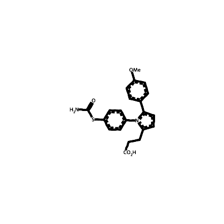 COc1ccc(-c2ccc(CCC(=O)O)n2-c2ccc(SC(N)=O)cc2)cc1